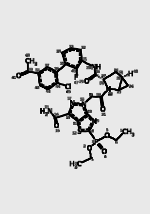 CCOP(=O)(OCC)c1nc2c(s1)c(C(N)=O)nn2CC(=O)N1C2C[C@@H]2C[C@H]1C(=O)Nc1cccc(-c2cc(C(C)=O)ccc2Cl)c1F